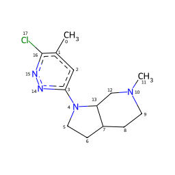 Cc1cc(N2CCC3CCN(C)CC32)nnc1Cl